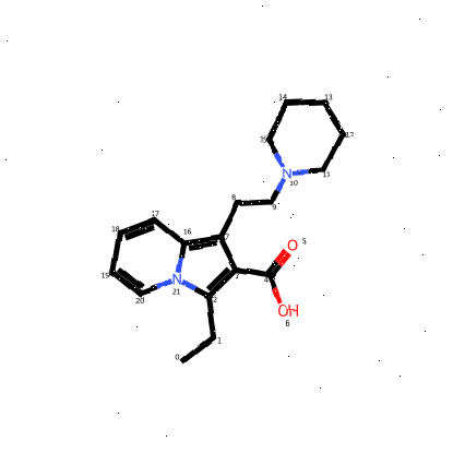 CCc1c(C(=O)O)c(CCN2CCCCC2)c2ccccn12